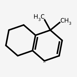 CC1(C)C=C[C]C2=C1CCCC2